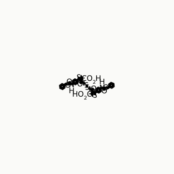 O=C(Nc1ccc(C2SC[C@@H](C(=O)O)N2C(=O)CCSSCCC(=O)N2C(c3ccc(NC(=O)OCc4ccccc4)cc3)SC[C@H]2C(=O)O)cc1)OCc1ccccc1